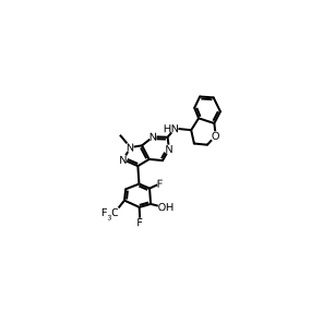 Cn1nc(-c2cc(C(F)(F)F)c(F)c(O)c2F)c2cnc(NC3CCOc4ccccc43)nc21